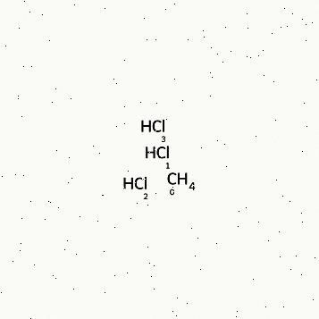 C.Cl.Cl.Cl